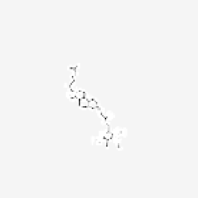 CCO[C@@H]1C(C)C(O)OC(COC(=O)CO[C@@H]2CC[C@@]3(C)C(=CCC4C3CC[C@@]3(C)C4CC[C@@H]3[C@H](C)CCCC(C)C)C2)[C@H]1O